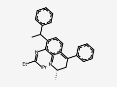 CC/C(=N/c1c(C(C)c2ccccc2)ccc2c1=N[C@@H](C)CC=2c1ccccc1)C(C)C